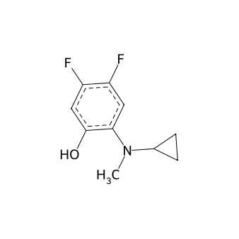 CN(c1cc(F)c(F)cc1O)C1CC1